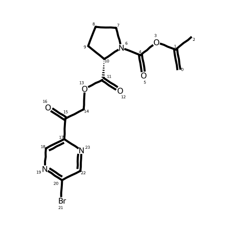 C=C(C)OC(=O)N1CCC[C@H]1C(=O)OCC(=O)c1cnc(Br)cn1